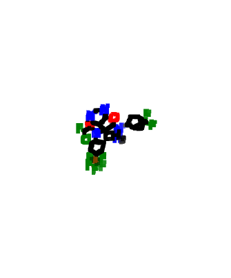 C[C@](C(=O)N[C@@H]1CC2CC1CC2(F)F)(c1cncnc1)N(C(=O)[C@H](F)Cl)c1ccc(S(F)(F)(F)(F)F)cc1